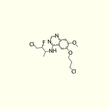 COc1cc2ncnc(NC(C)[C@H](F)CCl)c2cc1OCCCCl